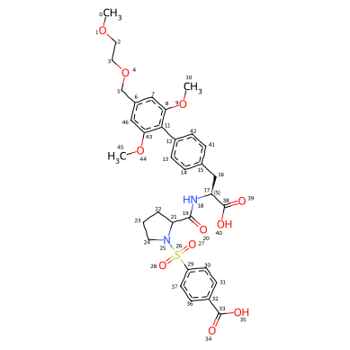 COCCOCc1cc(OC)c(-c2ccc(C[C@H](NC(=O)C3CCCN3S(=O)(=O)c3ccc(C(=O)O)cc3)C(=O)O)cc2)c(OC)c1